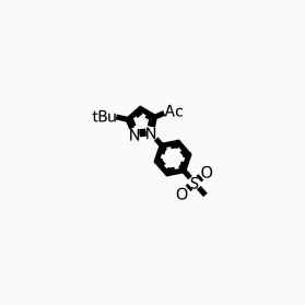 CC(=O)c1cc(C(C)(C)C)nn1-c1ccc(S(C)(=O)=O)cc1